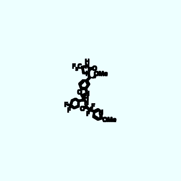 COC[C@H](c1ccc2oc([C@@H](NC(=O)C(F)(F)c3ccc(OC)nc3)C3CCC(F)(F)CC3)nc2c1)N1C[C@@H](C(F)(F)F)NC1=O